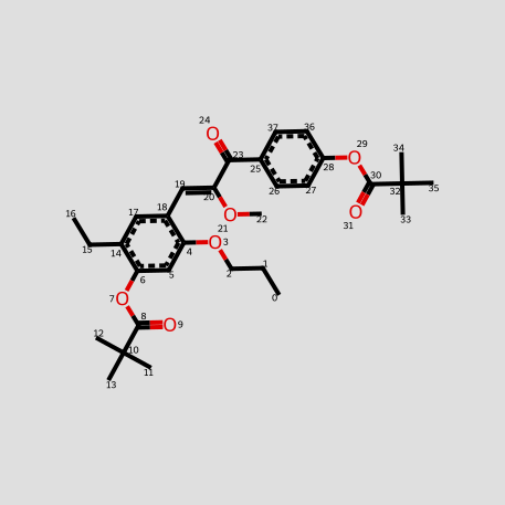 CCCOc1cc(OC(=O)C(C)(C)C)c(CC)cc1C=C(OC)C(=O)c1ccc(OC(=O)C(C)(C)C)cc1